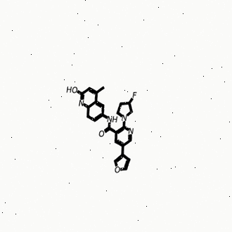 CC1=CC(O)=NC2CC=C(NC(=O)c3cc(-c4ccoc4)cnc3N3CCC(F)C3)C=C12